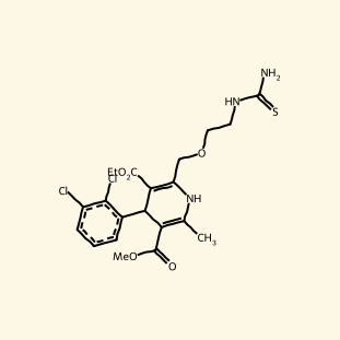 CCOC(=O)C1=C(COCCNC(N)=S)NC(C)=C(C(=O)OC)C1c1cccc(Cl)c1Cl